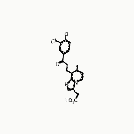 Cc1ccn2c(CC(=O)O)cnc2c1CCC(=O)c1ccc(Cl)c(Cl)c1